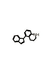 C1=CC(c2cccc3c2CCCN3)c2ccccc21